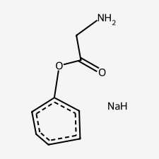 NCC(=O)Oc1ccccc1.[NaH]